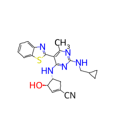 Cc1nc(NCC2CC2)nc(N[C@@H]2CC(C#N)=C[C@H]2O)c1-c1nc2ccccc2s1